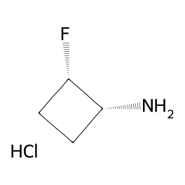 Cl.N[C@@H]1CC[C@@H]1F